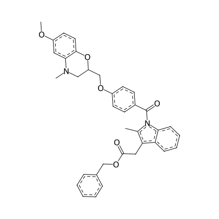 COc1ccc2c(c1)N(C)CC(COc1ccc(C(=O)n3c(C)c(CC(=O)OCc4ccccc4)c4ccccc43)cc1)O2